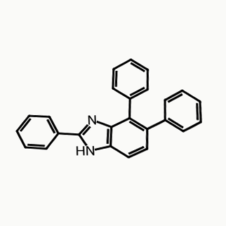 c1ccc(-c2nc3c(-c4ccccc4)c(-c4ccccc4)ccc3[nH]2)cc1